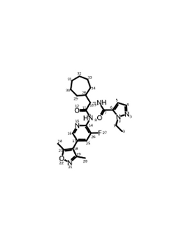 CCn1nccc1C(=O)N[C@H](C(=O)Nc1ncc(-c2c(C)noc2C)cc1F)C1CCCCCC1